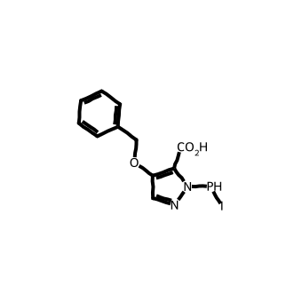 O=C(O)c1c(OCc2ccccc2)cnn1PI